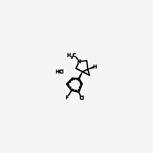 CN1C[C@@H]2C[C@]2(c2ccc(F)c(Cl)c2)C1.Cl